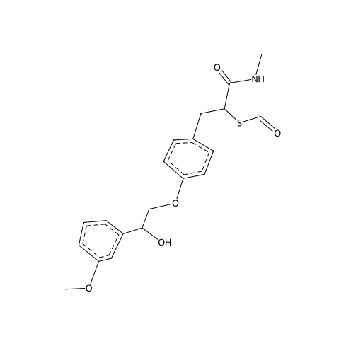 CNC(=O)C(Cc1ccc(OCC(O)c2cccc(OC)c2)cc1)SC=O